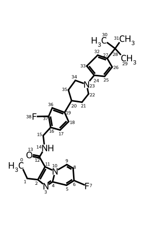 CCc1nc2cc(F)ccn2c1C(=O)NCc1ccc(C2CCN(c3ccc(C(C)(C)C)cc3)CC2)cc1F